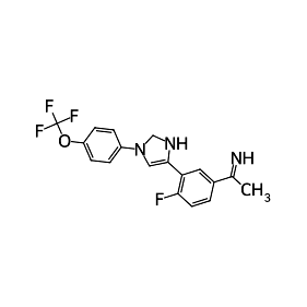 CC(=N)c1ccc(F)c(C2=CN(c3ccc(OC(F)(F)F)cc3)CN2)c1